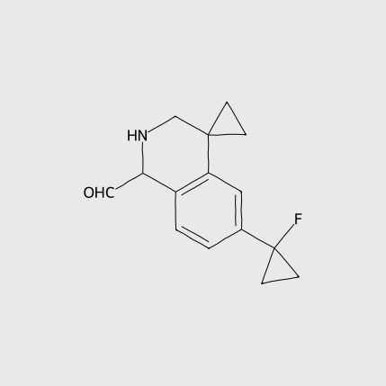 O=CC1NCC2(CC2)c2cc(C3(F)CC3)ccc21